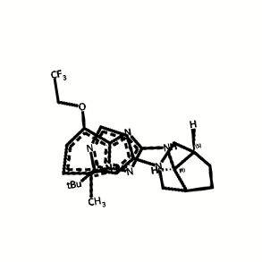 Cc1ccc(OCC(F)(F)F)c2nc(N[C@@H]3C4CC[C@H]3CN(c3ccnc(C(C)(C)C)c3)C4)nn12